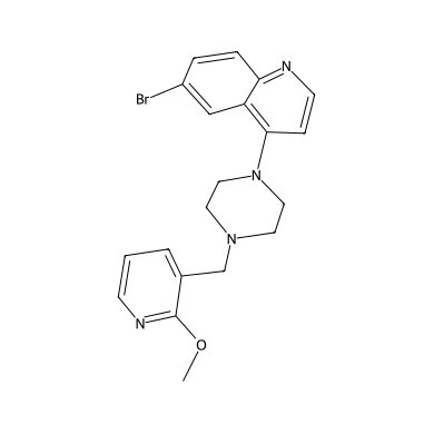 COc1ncccc1CN1CCN(c2ccnc3ccc(Br)cc23)CC1